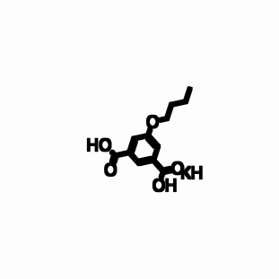 CCCCOc1cc(C(=O)O)cc(C(=O)O)c1.[KH]